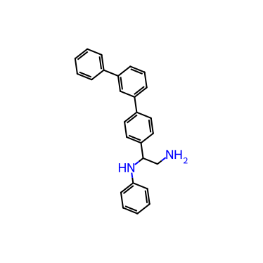 NCC(Nc1ccccc1)c1ccc(-c2cccc(-c3ccccc3)c2)cc1